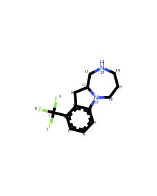 FC(F)(F)c1cccc2c1CC1CNCCCN21